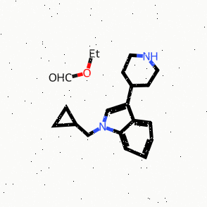 CCOC=O.c1ccc2c(c1)c(C1CCNCC1)cn2CC1CC1